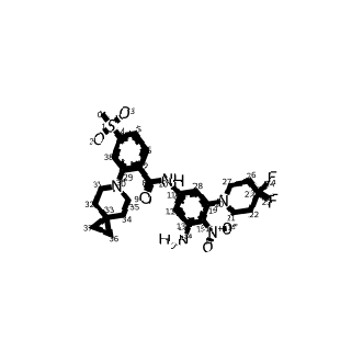 CS(=O)(=O)c1ccc(C(=O)Nc2cc(N)c([N+](=O)[O-])c(N3CCC(F)(F)CC3)c2)c(N2CCC3(CC2)CC3)c1